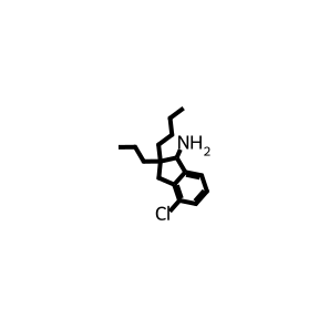 CCCCC1(CCC)Cc2c(Cl)cccc2C1N